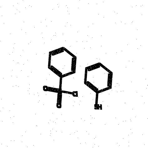 O=S(=O)(Cl)c1ccccc1.Sc1ccccc1